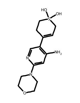 Nc1cc(N2CCOCC2)ncc1C1=CCS(O)(O)CC1